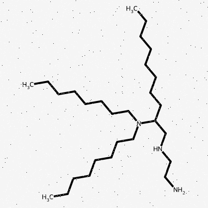 CCCCCCCCC(CNCCN)N(CCCCCCCC)CCCCCCCC